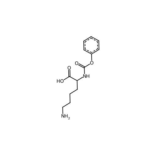 NCCCCC(NC(=O)Oc1ccccc1)C(=O)O